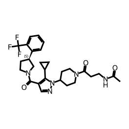 CC(=O)NCCC(=O)N1CCC(n2ncc(C(=O)N3CC[C@@H](c4ccccc4C(F)(F)F)C3)c2C2CC2)CC1